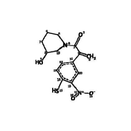 C=C(C(=O)N1CCCC(O)C1)c1ccc(S)c([N+](=O)[O-])c1